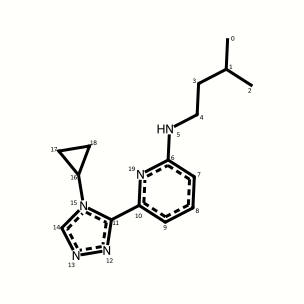 CC(C)CCNc1cccc(-c2nncn2C2CC2)n1